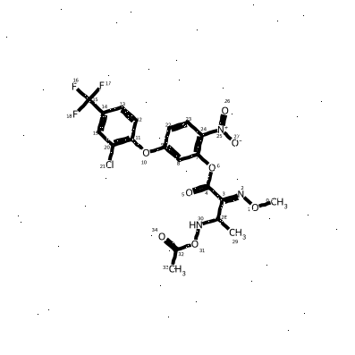 CON=C(C(=O)Oc1cc(Oc2ccc(C(F)(F)F)cc2Cl)ccc1[N+](=O)[O-])C(C)NOC(C)=O